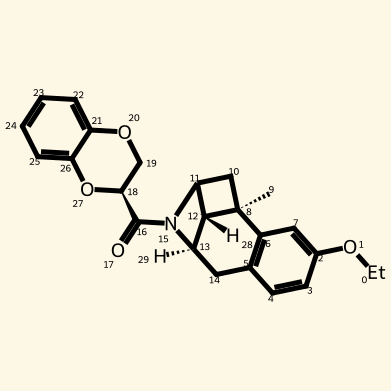 CCOc1ccc2c(c1)[C@]1(C)CC3[C@H]1[C@@H](C2)N3C(=O)[C@@H]1COc2ccccc2O1